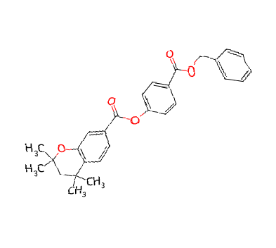 CC1(C)CC(C)(C)c2ccc(C(=O)Oc3ccc(C(=O)OCc4ccccc4)cc3)cc2O1